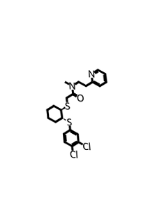 CN(CCc1ccccn1)C(=O)CS[C@@H]1CCCC[C@H]1Sc1ccc(Cl)c(Cl)c1